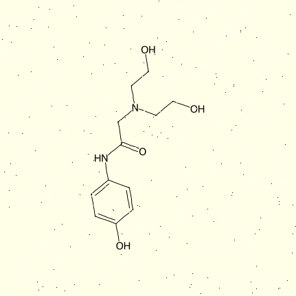 O=C(CN(CCO)CCO)Nc1ccc(O)cc1